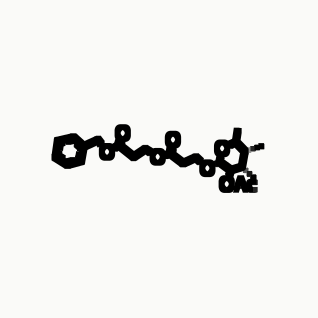 CC(=O)OC1[C@H](OCCC(=O)OCCC(=O)OCc2ccccc2)OC(C)[C@H](C)[C@@H]1C